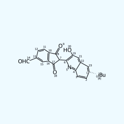 CC[C@@H](C)c1ccc2nc(C3C(=O)c4ccc(C=O)cc4C3=O)c(O)cc2c1